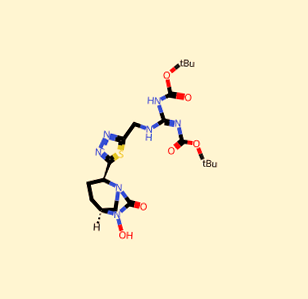 CC(C)(C)OC(=O)/N=C(\NCc1nnc([C@@H]2CC[C@H]3CN2C(=O)N3O)s1)NC(=O)OC(C)(C)C